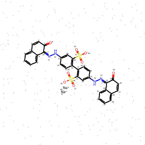 O=C1C=Cc2ccccc2/C1=N/Nc1ccc(-c2ccc(N/N=C3/C(=O)C=Cc4ccccc43)cc2S(=O)(=O)[O-])c(S(=O)(=O)[O-])c1.[Na+].[Na+]